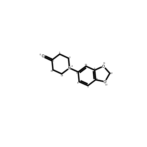 O=C1CCN(c2ccc3c(c2)OCO3)CC1